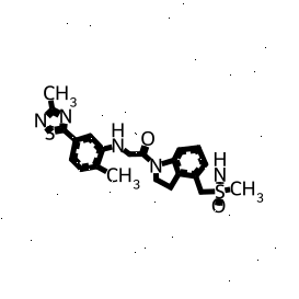 Cc1nsc(-c2ccc(C)c(NCC(=O)N3CCc4c(CS(C)(=N)=O)cccc43)c2)n1